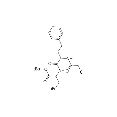 CC(C)CC(NC(=O)C(CCc1ccccc1)NC(=O)CCl)C(=O)OC(C)(C)C